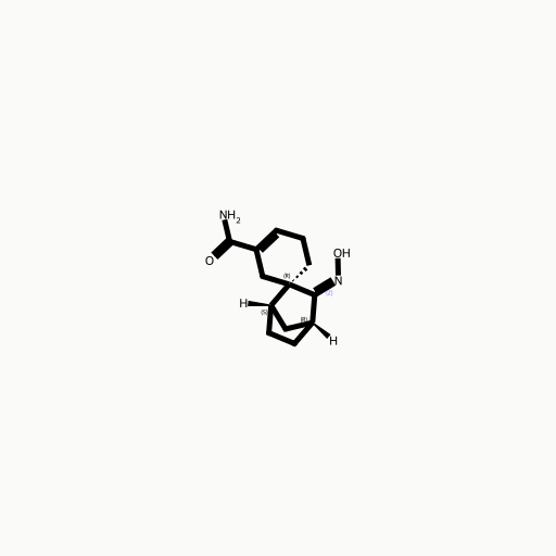 NC(=O)C1=CCC[C@]2(C1)/C(=N\O)[C@@H]1CC[C@H]2C1